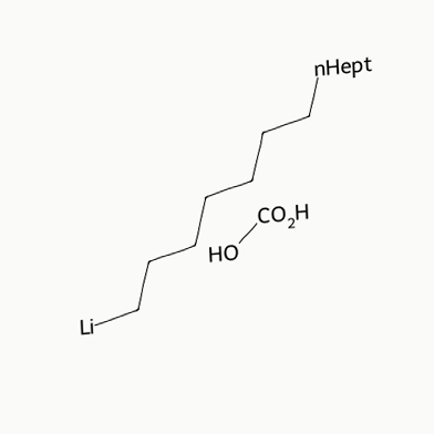 O=C(O)O.[Li][CH2]CCCCCCCCCCCCC